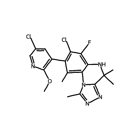 COc1ncc(Cl)cc1-c1c(C)c2c(c(F)c1Cl)NC(C)(C)c1nnc(C)n1-2